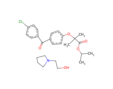 CC(C)OC(=O)C(C)(C)Oc1ccc(C(=O)c2ccc(Cl)cc2)cc1.OCCN1CCCC1